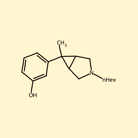 CCCCCCN1CC2C(C1)C2(C)c1cccc(O)c1